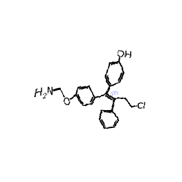 NCOc1ccc(/C(=C(/CCCl)c2ccccc2)c2ccc(O)cc2)cc1